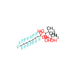 C=C(C)C(=O)O.CC(O)CO.O=C(O)C(F)(F)C(F)(F)C(F)(F)C(F)(F)C(F)(F)C(F)(F)C(F)(F)F